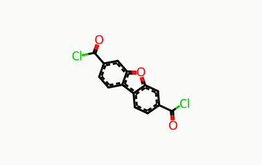 O=C(Cl)c1ccc2c(c1)oc1cc(C(=O)Cl)ccc12